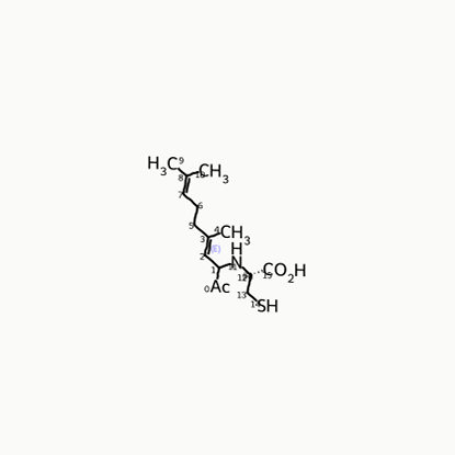 CC(=O)C(/C=C(\C)CCC=C(C)C)N[C@@H](CS)C(=O)O